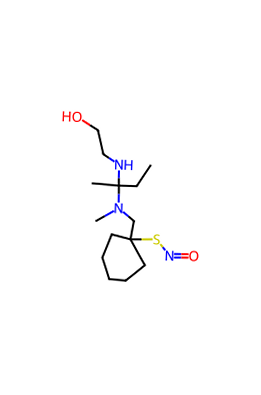 CCC(C)(NCCO)N(C)CC1(SN=O)CCCCC1